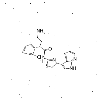 NCCC(C(=O)NC1=NC(c2c[nH]c3ncccc23)CS1)c1ccccc1Cl